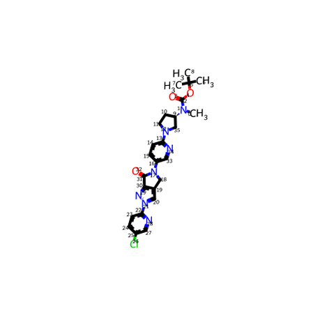 CN(C(=O)OC(C)(C)C)[C@H]1CCN(c2ccc(N3Cc4cn(-c5ccc(Cl)cn5)nc4C3=O)cn2)C1